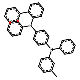 Cc1cccc(N(c2ccccc2)c2ccc(N(c3ccccc3)c3ccccc3-c3ccccc3)cc2)c1